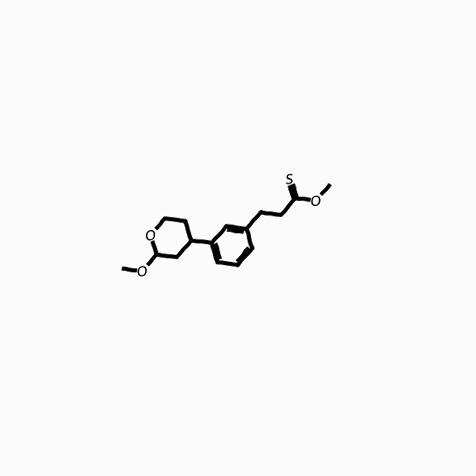 COC(=S)CCc1cccc(C2CCOC(OC)C2)c1